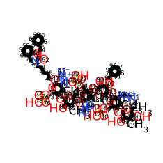 CC1O[C@@H](O[C@@H]2C(COS(=O)(=O)O)O[C@H](O[C@@H]3C(C)O[C@@H](O[C@@H]4C(COS(=O)(=O)O)O[C@H](O[C@@H]5C(C)O[C@@H](O[C@H]6C(C)C(N=[N+]=[N-])[C@@H](OCCCCCN(Cc7ccccc7)C(=O)OCc7ccccc7)O[C@H]6COS(=O)(=O)O)C(O)C5C)C(N=[N+]=[N-])[C@H]4C)C(O)[C@@H]3OCc3ccccc3)C(N=[N+]=[N-])C2C)C(O)C(C)[C@@H]1O